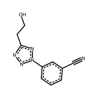 N#Cc1cccc(-n2nnc(CCO)n2)c1